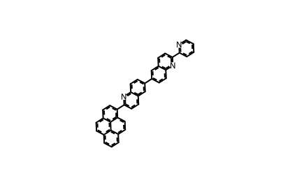 c1ccc(-c2ccc3cc(-c4ccc5nc(-c6ccc7ccc8cccc9ccc6c7c89)ccc5c4)ccc3n2)nc1